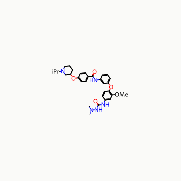 COc1cc(NC(=O)NN(C)C)ccc1Oc1cccc(NC(=O)c2ccc(OC3CCCN(C(C)C)C3)cc2)c1